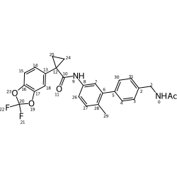 CC(=O)NCc1ccc(-c2cc(NC(=O)C3(c4ccc5c(c4)OC(F)(F)O5)CC3)ccc2C)cc1